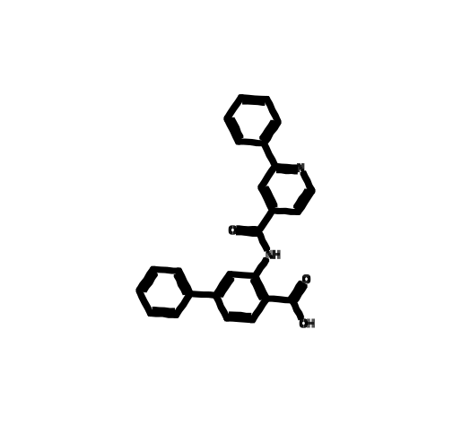 O=C(Nc1cc(-c2ccccc2)ccc1C(=O)O)c1ccnc(-c2ccccc2)c1